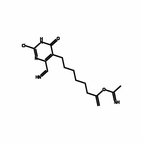 C=C(CCCCCCc1c(C=N)nc(Cl)[nH]c1=O)OC(C)=N